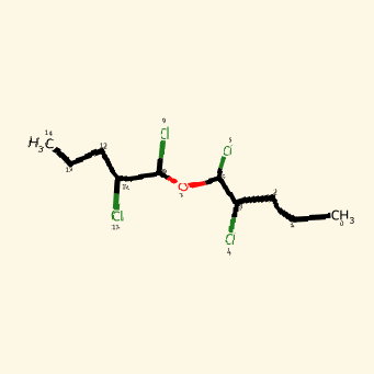 CCCC(Cl)C(Cl)OC(Cl)C(Cl)CCC